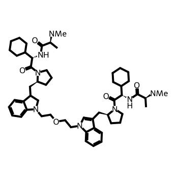 CN[C@@H](C)C(=O)N[C@H](C(=O)N1CCC[C@H]1Cc1cn(CCOCCN2CC(C[C@@H]3CCCN3C(=O)[C@@H](NC(=O)[C@H](C)NC)C3CCCCC3)c3ccccc32)c2ccccc12)C1CCCCC1